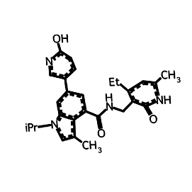 CCc1cc(C)[nH]c(=O)c1CNC(=O)c1cc(-c2ccc(O)nc2)cc2c1c(C)cn2C(C)C